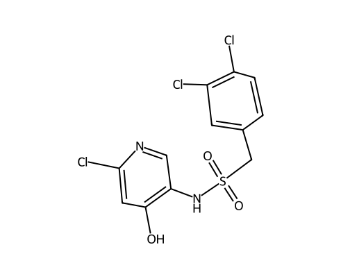 O=S(=O)(Cc1ccc(Cl)c(Cl)c1)Nc1cnc(Cl)cc1O